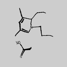 CC(=O)O.CCCN1C=C(C)C=C(C)C1CC